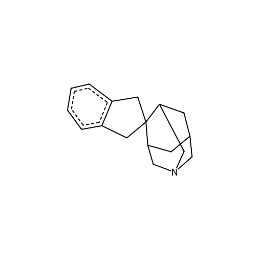 c1ccc2c(c1)CC1(C2)C2CC3CC1CN(C3)C2